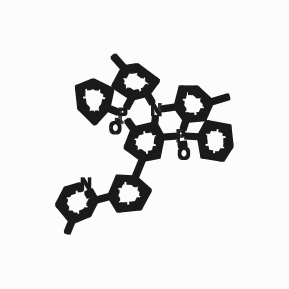 Cc1ccnc(-c2cccc(-c3cc4c5c(c3)P(=O)(c3ccccc3)c3cc(C)ccc3N5c3ccc(C)cc3P4(=O)c3ccccc3)c2)c1